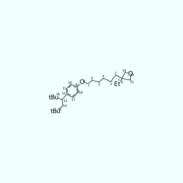 CCC1(CCCCCCOc2ccc(C(CC(C)(C)C)C(C)(C)C)cc2)COC1